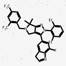 CCc1cccc(CC)c1-n1nc2c(c1-c1cc(F)c3c(c1)CC=N3)CN(Cc1ccc(C(F)(F)F)cc1C(F)(F)F)C2(C)C